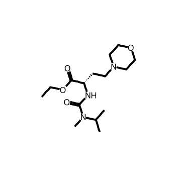 CCOC(=O)[C@H](CCN1CCOCC1)NC(=O)N(C)C(C)C